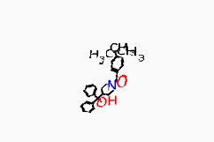 CC(C)(C)c1ccc(C(=O)N2CCC(C(O)(c3ccccc3)c3ccccc3)CC2)cc1